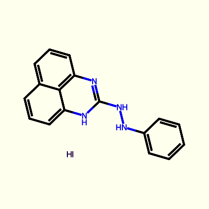 I.c1ccc(NNC2=Nc3cccc4cccc(c34)N2)cc1